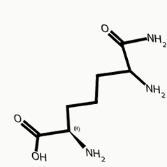 NC(=O)C(N)CCC[C@@H](N)C(=O)O